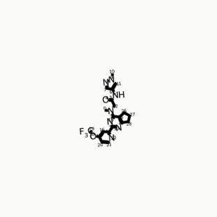 CN(CC(=O)Nc1cnn(C)c1)c1nc(-c2cc(OC(F)(F)F)ccn2)nc2c1CCC2